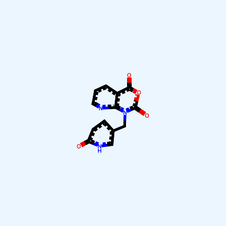 O=c1ccc(Cn2c(=O)oc(=O)c3cccnc32)c[nH]1